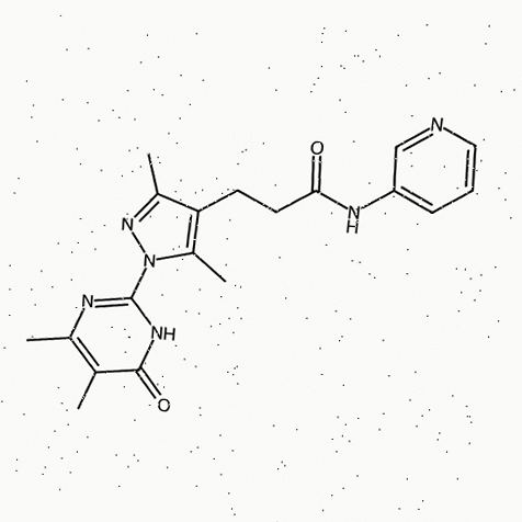 Cc1nn(-c2nc(C)c(C)c(=O)[nH]2)c(C)c1CCC(=O)Nc1cccnc1